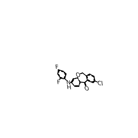 O=C1c2cc(Cl)ccc2COC2C=C(Nc3ccc(F)cc3F)C=CC12